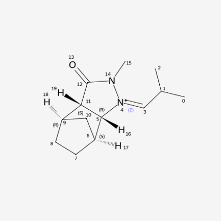 CC(C)/C=[N+]1/[C@@H]2[C@H]3CC[C@H](C3)[C@@H]2C(=O)N1C